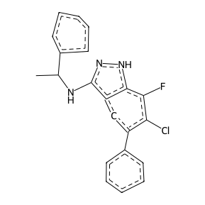 CC(Nc1n[nH]c2c(F)c(Cl)c(-c3ccccc3)cc12)c1ccccc1